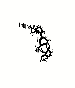 O=C1Nc2cc(OC(F)(F)F)ccc2Oc2ccc(-c3cccc(N4CC[C@H](O)C4)n3)cc21